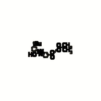 C=C(C)C(=O)OCCOC(=O)c1ccc2c(c1)n1n(-c3cc(C(C)(C)C)ccc3O)n21